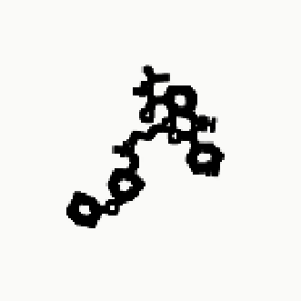 CC(C)N(C)C(=O)c1cccc(NC(=O)c2ccncc2)c1OCCCN(C)Cc1ccc(Oc2ccccc2)cc1